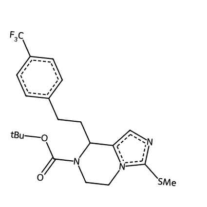 CSc1ncc2n1CCN(C(=O)OC(C)(C)C)C2CCc1ccc(C(F)(F)F)cc1